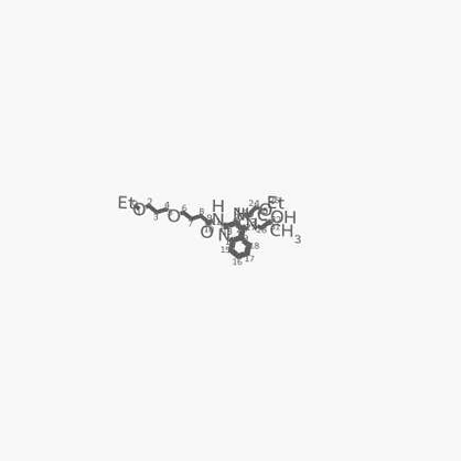 CCOCCCOCCCC(=O)Nc1nc2ccccc2c2c1nc(COCC)n2CC(C)(C)O